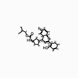 CC(C)COC(=O)N[C@@H]1CCN(C2N=C(C3=C(O)C=CCC3)N=C3C=CC(F)=CC32)C1